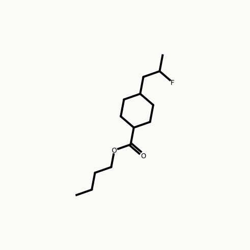 CCCCOC(=O)C1CCC(CC(C)F)CC1